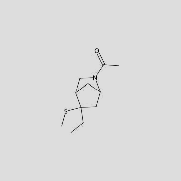 CCC1(SC)CC2CC1CN2C(C)=O